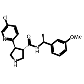 COc1cccc([C@H](C)NC(=O)[C@@H]2CNC[C@H]2c2ccc(Cl)cn2)c1